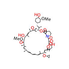 CO[C@@H]1C[C@H](CC(C)[C@@H]2CC(=O)[C@H](C)/C=C(\C)[C@@H](O)[C@@H](OC)C(=O)[C@H](C)C[C@H](C)/C=C/C=C/C=C(\C)[C@@H](OC3CC3)C[C@@H]3CC[C@@H](C)[C@@](O)(O3)C(=O)C(=O)N3CCCC[C@H]3C(=O)O2)CC[C@H]1O